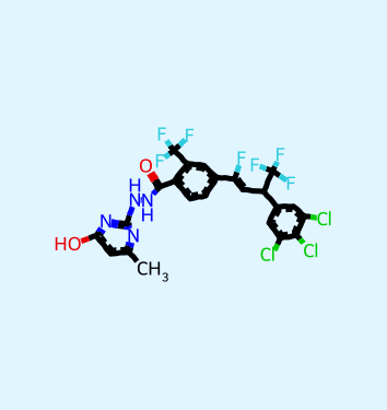 Cc1cc(O)nc(NNC(=O)c2ccc(C(F)=CC(c3cc(Cl)c(Cl)c(Cl)c3)C(F)(F)F)cc2C(F)(F)F)n1